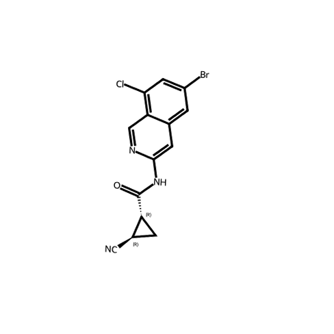 N#C[C@@H]1C[C@H]1C(=O)Nc1cc2cc(Br)cc(Cl)c2cn1